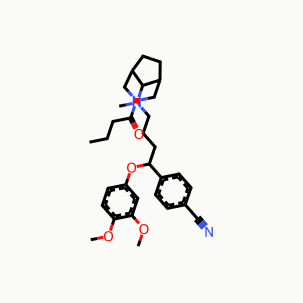 CCCC(=O)N1CC2CCC(C1)C2N(C)CCCC(Oc1ccc(OC)c(OC)c1)c1ccc(C#N)cc1